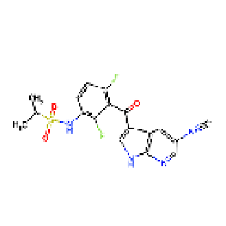 [C-]#[N+]c1cnc2[nH]cc(C(=O)c3c(F)ccc(NS(=O)(=O)C(C)C)c3F)c2c1